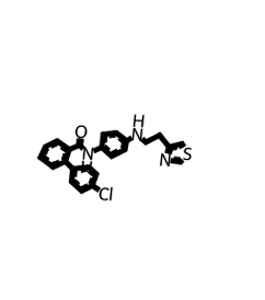 O=C(Nc1ccc(NCCc2cscn2)cc1)c1ccccc1-c1ccc(Cl)cc1